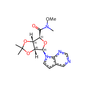 CON(C)C(=O)[C@H]1O[C@@H](n2ccc3cncnc32)[C@@H]2OC(C)(C)O[C@@H]21